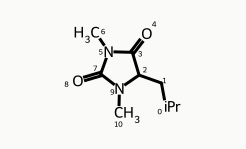 CC(C)CC1C(=O)N(C)C(=O)N1C